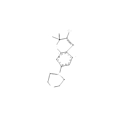 CC1(C)Oc2cc(N3CCOCC3)ccc2C=C1Br